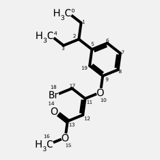 CCC(CC)c1cccc(O/C(=C/C(=O)OC)CBr)c1